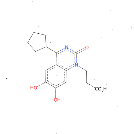 O=C(O)CCn1c(=O)nc(C2CCCC2)c2cc(O)c(O)cc21